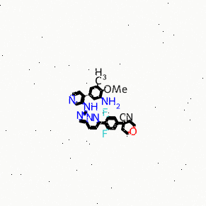 CO[C@H]1[C@H](N)C[C@H](c2ccncc2Nc2ncc3ccc(-c4c(F)cc(C5(C#N)CCOCC5)cc4F)nn23)C[C@@H]1C